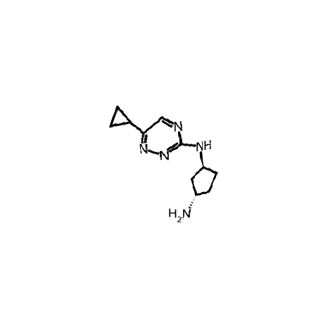 N[C@H]1CC[C@H](Nc2ncc(C3CC3)nn2)C1